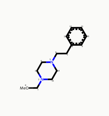 COCN1CCN(CCc2ccccc2)CC1